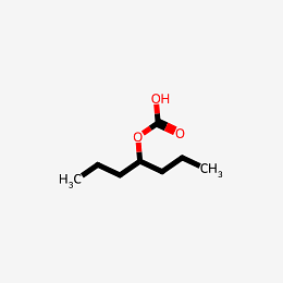 CCCC(CCC)OC(=O)O